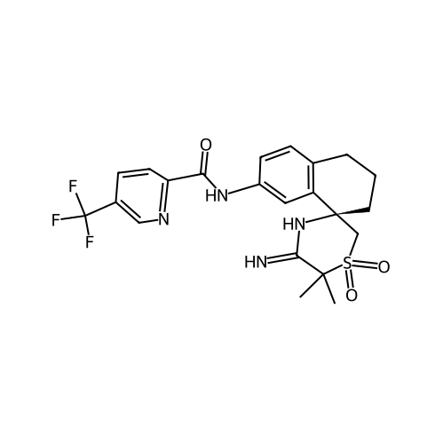 CC1(C)C(=N)N[C@@]2(CCCc3ccc(NC(=O)c4ccc(C(F)(F)F)cn4)cc32)CS1(=O)=O